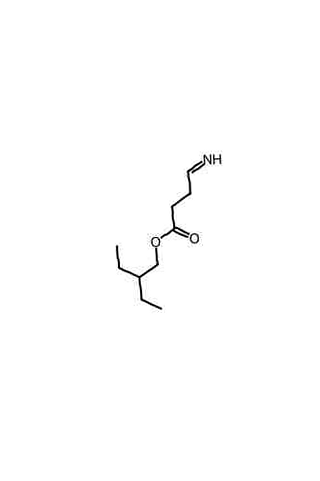 CCC(CC)COC(=O)CCC=N